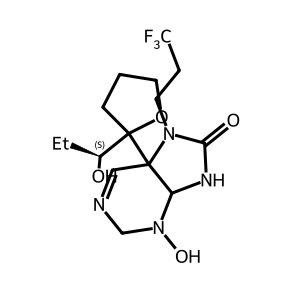 CC[C@H](O)C1(C23C=NCN(O)C2NC(=O)N3CCC(F)(F)F)CCCO1